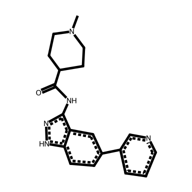 CN1CCC(C(=O)Nc2n[nH]c3ccc(-c4cccnc4)cc23)CC1